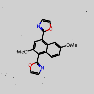 COc1ccc2c(-c3ncco3)c(OC)cc(-c3ncco3)c2c1